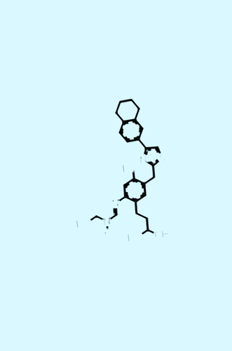 CCN(C)/C=N/c1cc(C)c(Cc2nc(-c3ccc4c(c3)CCCC4)cs2)cc1CCC(C)C